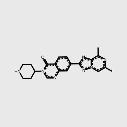 Cc1cn2nc(-c3ccc4c(=O)n(C5CCNCC5)cnc4c3)nc2c(C)n1